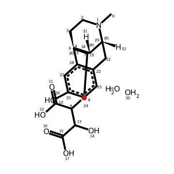 CN1CC[C@]23CCC(OC(C(=O)O)C(O)C(=O)O)C[C@H]2[C@H]1Cc1ccc(O)cc13.O.O